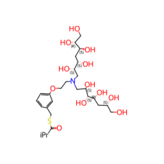 CC(C)C(=O)SCc1cccc(OCCN(C[C@H](O)[C@@H](O)[C@H](O)C[C@H](O)CO)C[C@H](O)[C@@H](O)C[C@H](O)[C@H](O)CO)c1